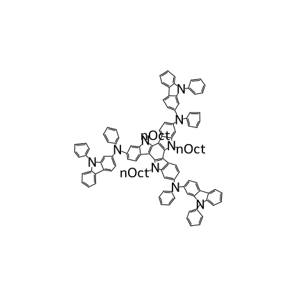 CCCCCCCCn1c2cc(N(c3ccccc3)c3ccc4c5ccccc5n(-c5ccccc5)c4c3)ccc2c2c1c1c3ccc(N(c4ccccc4)c4ccc5c6ccccc6n(-c6ccccc6)c5c4)cc3n(CCCCCCCC)c1c1c3ccc(N(c4ccccc4)c4ccc5c6ccccc6n(-c6ccccc6)c5c4)cc3n(CCCCCCCC)c21